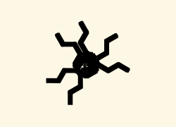 CCC[C]12[CH]3[C]4(CCC)[C]5(CCC)[CH]1[Fe]32451678[CH]2[CH]1[C]6(CCC)[C]7(CCC)[C]28CCC